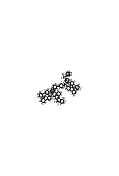 CC(C)(C)c1ccc2c(c1)C1(c3ccccc3-c3ccc(N(c4ccc(-c5cccc(CC(C)(C)c6ccc7c(c6)C6(c8ccccc8-c8ccc(N(c9ccc%10c(c9)C(C)(C)c9ccccc9-%10)c9ccccc9-c9ccccc9)cc86)c6ccccc6-7)c5)cc4)c4ccc5c(c4)C(C)(C)c4ccccc4-5)cc31)c1ccccc1-2